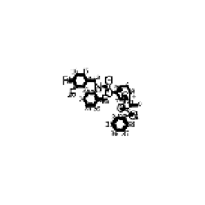 CC([N+]12CCC(CC1)C(OC(=O)N(Cc1ccc(F)c(F)c1)c1ccccc1F)C2)S(=O)(=O)c1ccccc1